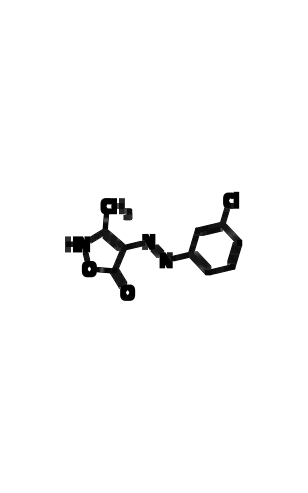 Cc1[nH]oc(=O)c1N=Nc1cccc(Cl)c1